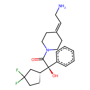 NCC=C1CCN(C(=O)[C@](O)(c2ccccc2)[C@@H]2CCC(F)(F)C2)CC1